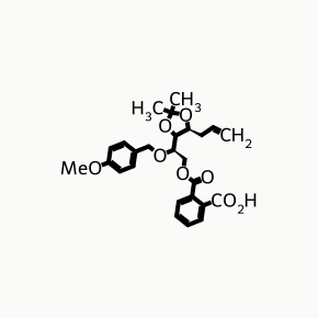 C=CC[C@@H]1OC(C)(C)OC1[C@@H](COC(=O)c1ccccc1C(=O)O)OCc1ccc(OC)cc1